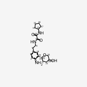 Nc1ccc(CCNC(=O)C(=O)NC2CCCC2)cc1[C@@H]1CC[C@H](O)CO1